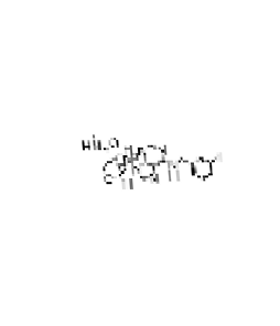 CNC(=O)[C@@]12CO[C@@H](C1N)[C@H](n1cnc3c(NCc4cccc(I)c4)ncnc31)O2